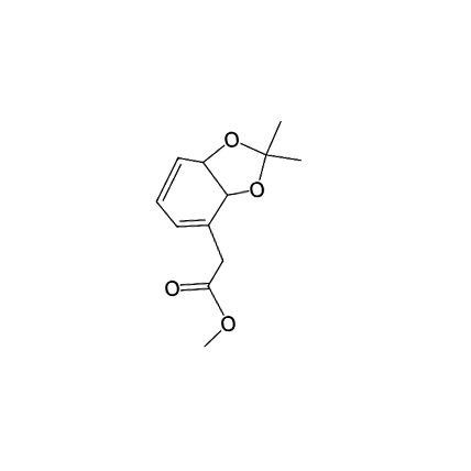 COC(=O)CC1=CC=CC2OC(C)(C)OC12